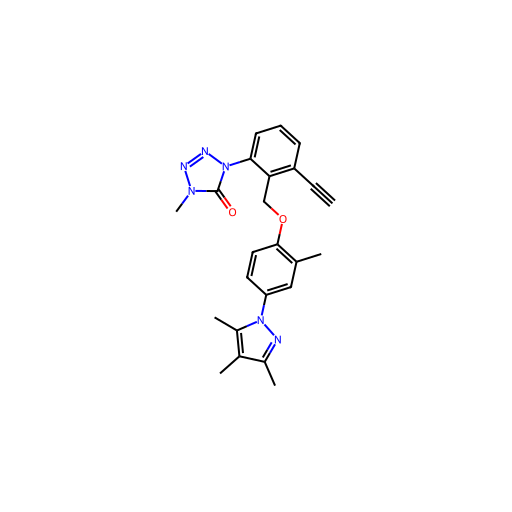 C#Cc1cccc(-n2nnn(C)c2=O)c1COc1ccc(-n2nc(C)c(C)c2C)cc1C